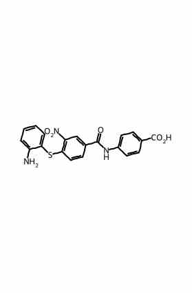 Nc1ccccc1Sc1ccc(C(=O)Nc2ccc(C(=O)O)cc2)cc1[N+](=O)[O-]